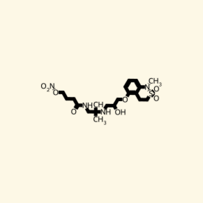 CN1c2cccc(OCC(O)CNC(C)(C)CNC(=O)CCCO[N+](=O)[O-])c2CCS1(=O)=O